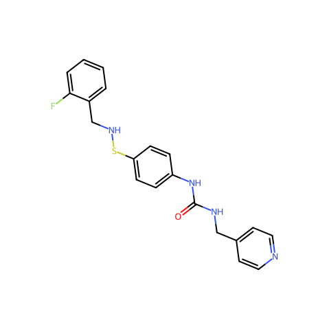 O=C(NCc1ccncc1)Nc1ccc(SNCc2ccccc2F)cc1